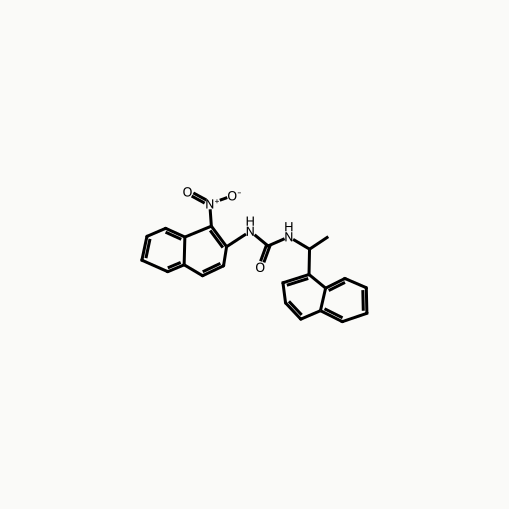 CC(NC(=O)Nc1ccc2ccccc2c1[N+](=O)[O-])c1cccc2ccccc12